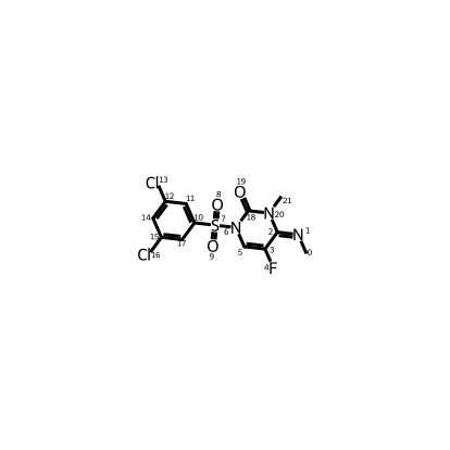 C/N=c1\c(F)cn(S(=O)(=O)c2cc(Cl)cc(Cl)c2)c(=O)n1C